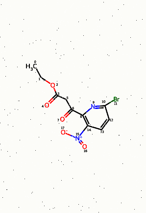 CCOC(=O)CC(=O)c1nc(Br)ccc1[N+](=O)[O-]